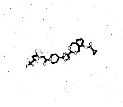 Cc1cc(C(F)(F)F)nn1CC(=O)N1CCC(c2nc(C3OCc4cccc(OC(=O)C5CC5)c4CO3)cs2)CC1